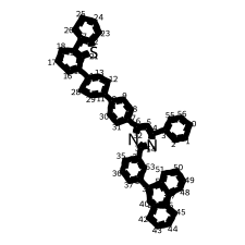 c1ccc(-c2cc(-c3ccc(-c4ccc(-c5cccc6c5sc5ccccc56)cc4)cc3)nc(-c3cccc(-c4cc5ccccc5c5ccccc45)c3)n2)cc1